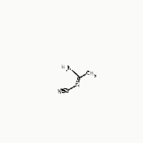 [CH2]/C(N)=N/C#N